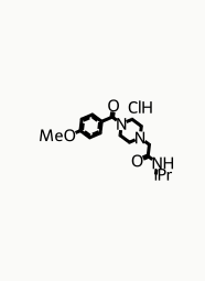 COc1ccc(C(=O)N2CCN(CC(=O)NC(C)C)CC2)cc1.Cl